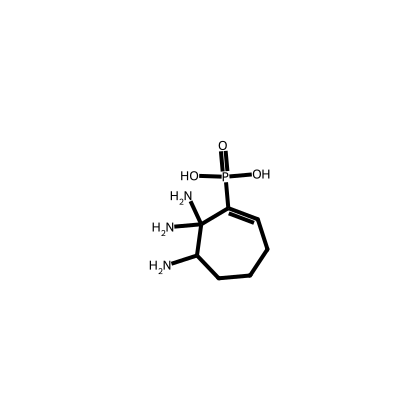 NC1CCCC=C(P(=O)(O)O)C1(N)N